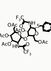 CC(=O)OCC1O[C@@H](O[C@@H]2C(COC(C)=O)O[C@@H](Sc3ccccc3)C(NC(=O)C(F)(F)F)[C@H]2OC(C)=O)C(NC(=O)C(F)(F)F)[C@@H](OC(C)=O)[C@@H]1OC(C)=O